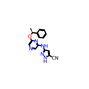 C[C@H](Oc1cncc(Nc2cc(C#N)[nH]n2)n1)c1ccccc1